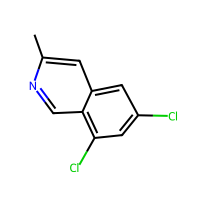 Cc1cc2cc(Cl)cc(Cl)c2cn1